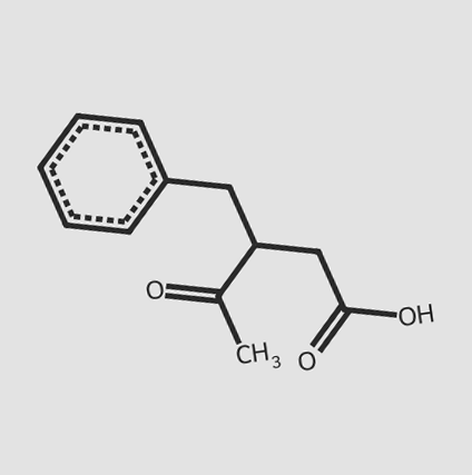 CC(=O)C(CC(=O)O)Cc1ccccc1